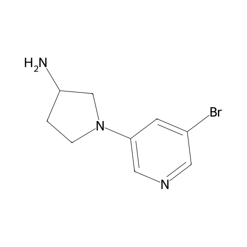 NC1CCN(c2cncc(Br)c2)C1